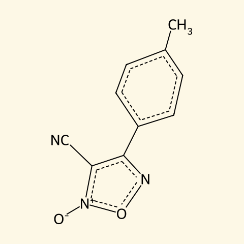 Cc1ccc(-c2no[n+]([O-])c2C#N)cc1